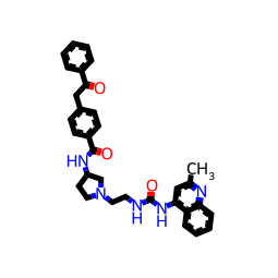 Cc1cc(NC(=O)NCCN2CCC(NC(=O)c3ccc(CC(=O)c4ccccc4)cc3)C2)c2ccccc2n1